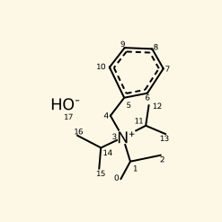 CC(C)[N+](Cc1ccccc1)(C(C)C)C(C)C.[OH-]